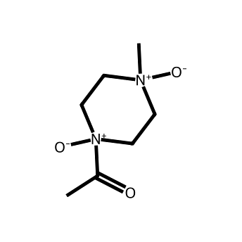 CC(=O)[N+]1([O-])CC[N+](C)([O-])CC1